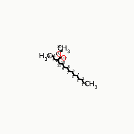 CCCCCCCCCCCCC(CCC)C(=O)OCC